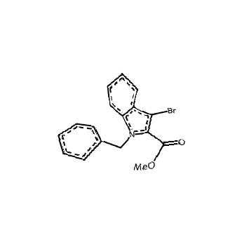 COC(=O)c1c(Br)c2ccccc2n1Cc1ccccc1